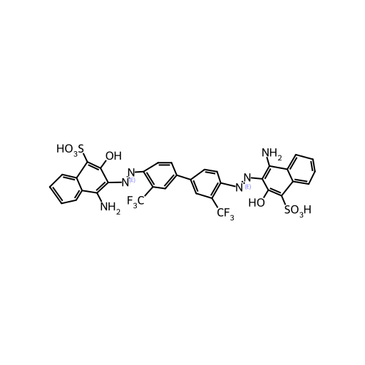 Nc1c(/N=N/c2ccc(-c3ccc(/N=N/c4c(O)c(S(=O)(=O)O)c5ccccc5c4N)c(C(F)(F)F)c3)cc2C(F)(F)F)c(O)c(S(=O)(=O)O)c2ccccc12